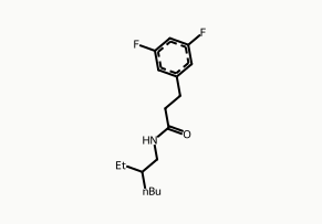 CCCCC(CC)CNC(=O)CCc1cc(F)cc(F)c1